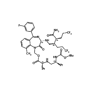 Cc1cccc2c1N(COC(=O)[C@@H](NC[C@@H](NC(=O)OC(C)(C)C)C(C)C)C(C)C)C(=O)[C@@H](NC[C@H](CCC(F)(F)F)[C@H](CCC(F)(F)F)C(N)=O)N=C2c1cccc(F)c1